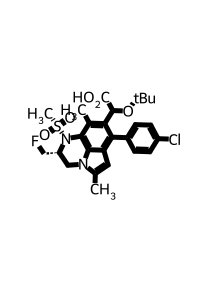 Cc1c(C(OC(C)(C)C)C(=O)O)c(-c2ccc(Cl)cc2)c2cc(C)n3c2c1N(S(C)(=O)=O)[C@@H](CF)C3